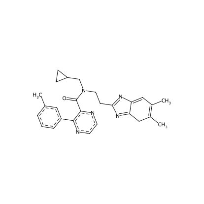 CC1=C(C)CC2=NC(CCN(CC3CC3)C(=O)c3nccnc3-c3cccc(C)c3)=NC2=C1